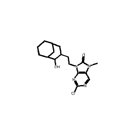 Cn1c(=O)n(CCC2CC3CCCC(C3)C2O)c2nc(Cl)ncc21